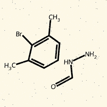 Cc1cccc(C)c1Br.NNC=O